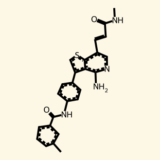 CNC(=O)C=Cc1cnc(N)c2c(-c3ccc(NC(=O)c4cccc(C)c4)cc3)csc12